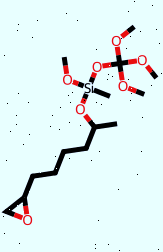 COC(OC)(OC)O[Si](C)(OC)OC(C)CCCCC1CO1